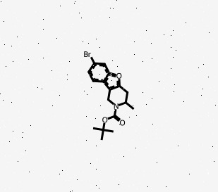 CC1Cc2oc3cc(Br)ccc3c2CN1C(=O)OC(C)(C)C